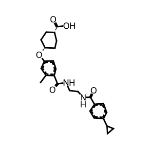 Cc1cc(O[C@H]2CC[C@@H](C(=O)O)CC2)ccc1C(=O)NCCNC(=O)c1ccc(C2CC2)cc1